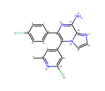 Cc1cc(-c2c(-c3ccc(F)cc3)nc(N)c3nccn23)cc(Cl)n1